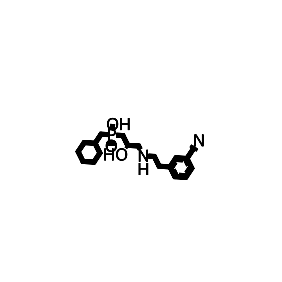 N#Cc1cccc(CCNC[C@@H](O)CP(=O)(O)CC2CCCCC2)c1